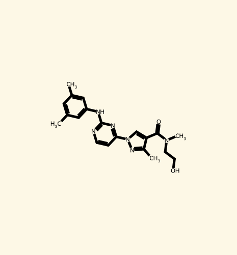 Cc1cc(C)cc(Nc2nccc(-n3cc(C(=O)N(C)CCO)c(C)n3)n2)c1